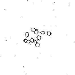 CC1(C)c2cc(N(c3ccccc3)c3cccc(-c4cc5ccccc5cc4-c4ccc(-c5ccccc5)cc4)c3)ccc2-c2c(-c3ccccc3)cccc21